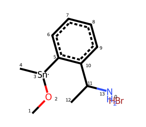 Br.C[O][Sn]([CH3])[c]1ccccc1C(C)N